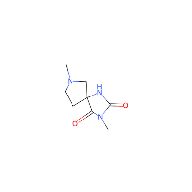 CN1CCC2(C1)NC(=O)N(C)C2=O